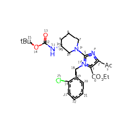 CCOC(=O)c1c(C(C)=O)nc(N2CCC[C@@H](NC(=O)OC(C)(C)C)C2)n1Cc1ccccc1Cl